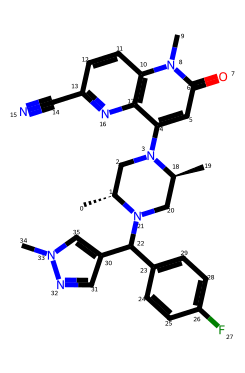 C[C@@H]1CN(c2cc(=O)n(C)c3ccc(C#N)nc23)[C@@H](C)CN1C(c1ccc(F)cc1)c1cnn(C)c1